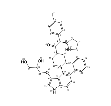 O=C([C@@H](c1ccc(I)cc1)C1CCCN1)N1CCN(c2c(-c3ccccc3)cnc3[nH]nc(OC[C@@H](O)CO)c23)CC1